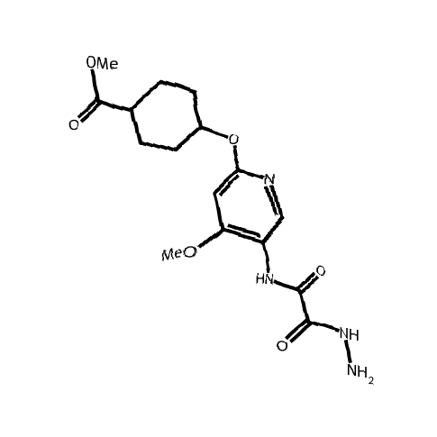 COC(=O)C1CCC(Oc2cc(OC)c(NC(=O)C(=O)NN)cn2)CC1